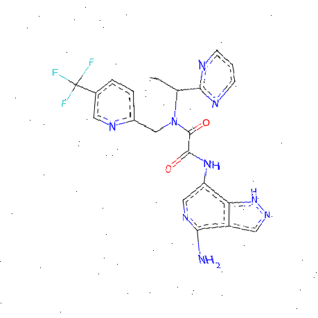 CC(c1ncccn1)N(Cc1ccc(C(F)(F)F)cn1)C(=O)C(=O)Nc1cnc(N)c2cn[nH]c12